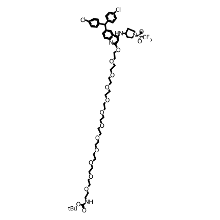 CC(C)(C)OC(=O)NCCOCCOCCOCCOCCOCCOCCOCCOCCOCCOCCOCCOc1cc(NC2CCN(S(=O)(=O)C(F)(F)F)CC2)c2cc(C(c3ccc(Cl)cc3)c3ccc(Cl)cc3)ccc2n1